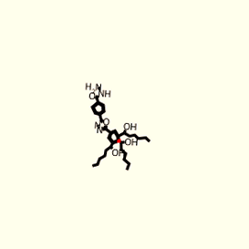 CCCCCC(O)c1cc(-c2nnc(-c3ccc(C(=O)NN)cc3)o2)cc(C(O)CCCCC)c1C(O)CCCCC